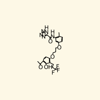 CC(=O)c1ccc(OCCCOc2ccc(C)c(NC(=O)c3nnn[nH]3)c2)c(CCC(F)(F)F)c1O